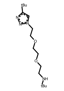 CC(C)(C)NCCOCCOCCn1cc(C(C)(C)C)nn1